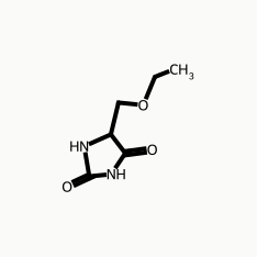 CCOCC1NC(=O)NC1=O